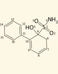 NS(=O)(=O)C1(O)CC=CC=C1c1ccccc1